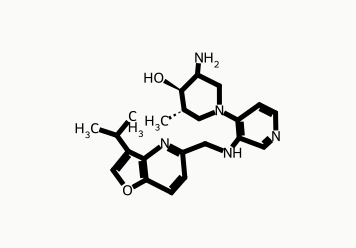 CC(C)c1coc2ccc(CNc3cnccc3N3CC(N)[C@H](O)[C@@H](C)C3)nc12